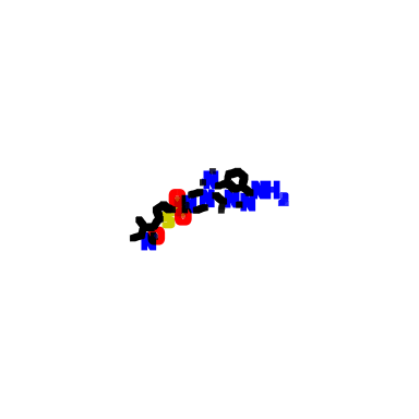 Cc1noc(-c2ccc(S(=O)(=O)N3CCN(C[C@H](C)N4CN=C(N)c5cccc(CN(C)C)c54)CC3)s2)c1C